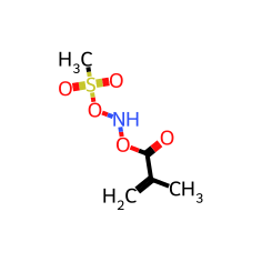 C=C(C)C(=O)ONOS(C)(=O)=O